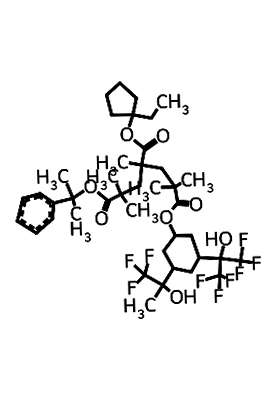 CCC1(OC(=O)C(C)(CC(C)(C)C(=O)OC2CC(C(C)(O)C(F)(F)F)CC(C(O)(C(F)(F)F)C(F)(F)F)C2)CC(C)(C)C(=O)OC(C)(C)c2ccccc2)CCCC1